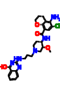 CO[C@H]1CN(CCCNc2nc(O)c3ccccc3n2)CC[C@H]1NC(=O)c1cc(Cl)c(N)c2c1OCCC2